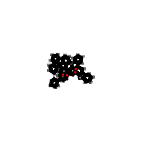 c1ccc(-c2ccc(-c3cccc(N(c4ccccc4-c4ccc5oc6ccccc6c5c4)c4cccc5c4-c4ccccc4C5(c4ccccc4)c4ccccc4)c3)cc2)cc1